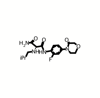 CC(C)CN[C@H](C(N)=O)C(=O)Nc1ccc(N2CCOCC2=O)cc1F